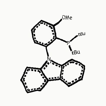 COc1cccc(-n2c3ccccc3c3ccccc32)c1P(C(C)(C)C)C(C)(C)C